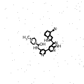 CN1CCN([C@H](O)Nc2cncc(-c3cnc4[nH]nc(-c5cc6c(C#N)cccc6[nH]5)c4c3)c2)CC1